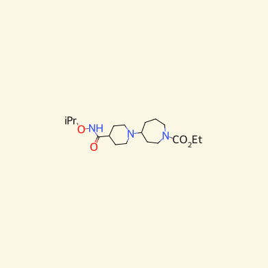 CCOC(=O)N1CCCC(N2CCC(C(=O)NOC(C)C)CC2)CC1